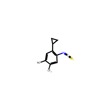 N#Cc1cc(C2CC2)c(N=C=S)cc1C(F)(F)F